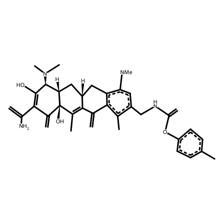 C=C(NCc1cc(NC)c2c(c1C)C(=C)C1=C(C)[C@]3(O)C(=C)C(C(=C)N)=C(O)[C@@H](N(C)C)[C@@H]3C[C@@H]1C2)Oc1ccc(C)cc1